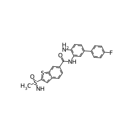 CS(=N)(=O)c1cc2ccc(C(=O)Nc3cc(-c4ccc(F)cc4)ccc3N)cc2s1